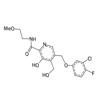 COCCNC(=O)c1ncc(COc2ccc(F)c(Cl)c2)c(CO)c1O